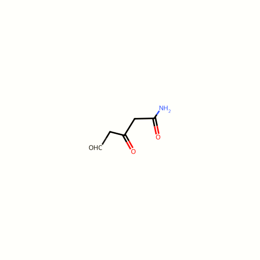 NC(=O)CC(=O)CC=O